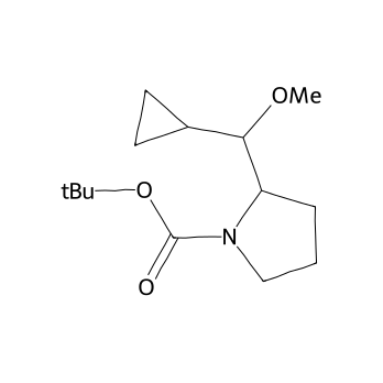 COC(C1CC1)C1CCCN1C(=O)OC(C)(C)C